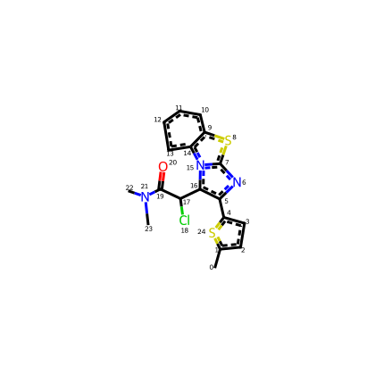 Cc1ccc(-c2nc3sc4ccccc4n3c2C(Cl)C(=O)N(C)C)s1